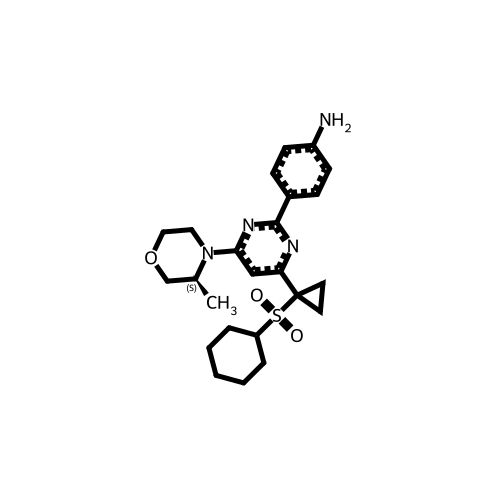 C[C@H]1COCCN1c1cc(C2(S(=O)(=O)C3CCCCC3)CC2)nc(-c2ccc(N)cc2)n1